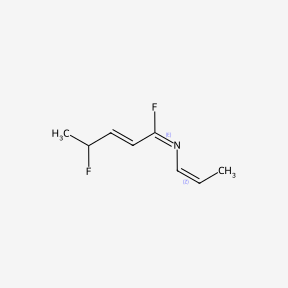 C/C=C\N=C(\F)C=CC(C)F